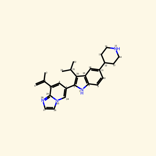 C=C(C)c1cc(-c2[nH]c3ccc(C4CCNCC4)cc3c2C(C)C)cn2ccnc12